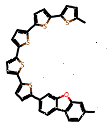 Cc1ccc2c(c1)oc1cc(-c3ccc(-c4ccc(-c5ccc(-c6ccc(-c7ccc(C)s7)s6)s5)s4)s3)ccc12